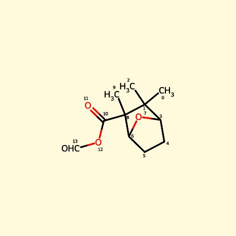 CC1(C)C2CCC(O2)C1(C)C(=O)OC=O